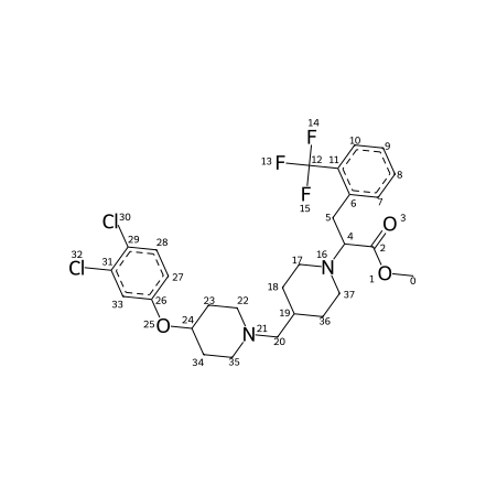 COC(=O)C(Cc1ccccc1C(F)(F)F)N1CCC(CN2CCC(Oc3ccc(Cl)c(Cl)c3)CC2)CC1